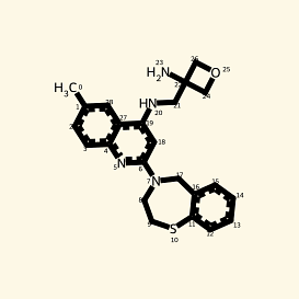 Cc1ccc2nc(N3CCSc4ccccc4C3)cc(NCC3(N)COC3)c2c1